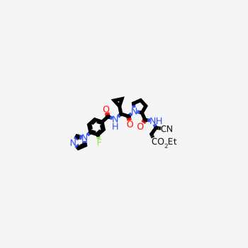 CCOC(=O)CC(C#N)NC(=O)C1CCCN1C(=O)C(NC(=O)c1ccc(-n2ccnc2)c(F)c1)C1CC1